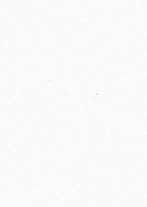 [C]=O.[C]=O.[C]=O.[C]=O.[C]=O.[Mn][c]1ccccc1